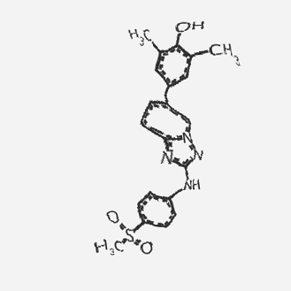 Cc1cc(-c2ccc3nc(Nc4ccc(S(C)(=O)=O)cc4)nn3c2)cc(C)c1O